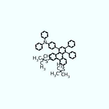 CC(C)(C)Sc1ccc2c(c1)c1cc(SC(C)(C)C)ccc1c1c(-c3ccccc3)c(-c3ccccc3)cc(-c3ccc(N(c4ccccc4)c4ccccc4)cc3)c21